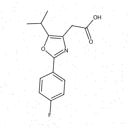 CC(C)c1oc(-c2ccc(F)cc2)nc1CC(=O)O